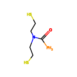 O=C(P)N(CCS)CCS